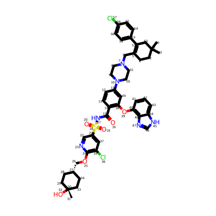 CC1(C)CCC(CN2CCN(c3ccc(C(=O)NS(=O)(=O)c4cnc(OC[C@H]5CC[C@@](C)(O)CC5)c(Cl)c4)c(Oc4cccc5[nH]cnc45)c3)CC2)=C(c2ccc(Cl)cc2)C1